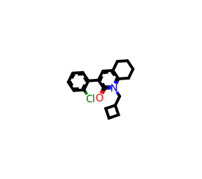 O=c1c(-c2ccccc2Cl)cc2c(n1CC1CCC1)CCCC2